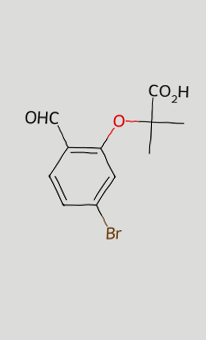 CC(C)(Oc1cc(Br)ccc1C=O)C(=O)O